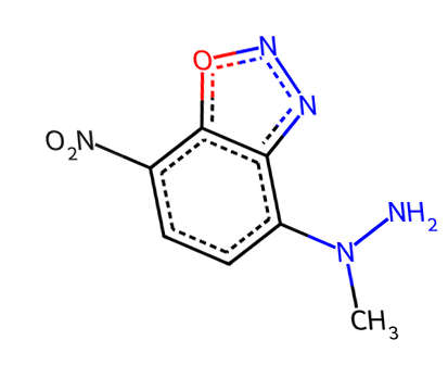 CN(N)c1ccc([N+](=O)[O-])c2onnc12